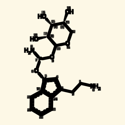 NCCc1cn(OP(N)OC2OC[C@@H](O)[C@@H](O)[C@H]2O)c2ccccc12